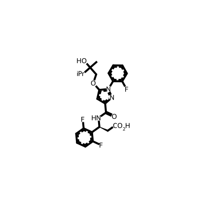 CC(C)C(C)(O)COc1cc(C(=O)N[C@@H](CC(=O)O)c2c(F)cccc2F)nn1-c1ccccc1F